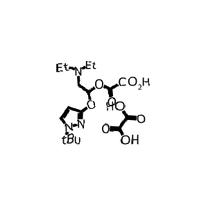 CCN(CC)CC(OC(=O)C(=O)O)Oc1ccn(C(C)(C)C)n1.O=C(O)C(=O)O